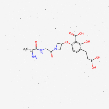 C[C@@H](N)C(=O)NCC(=O)N1CC(Oc2ccc(CCB(O)O)c(O)c2C(=O)O)C1